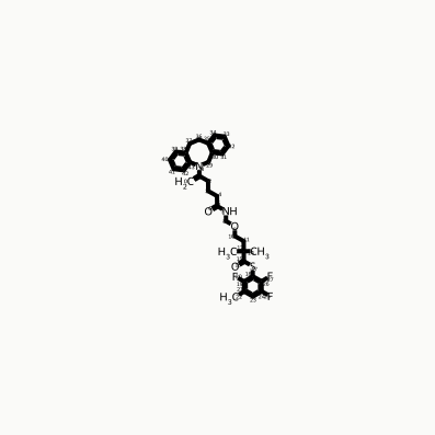 C=C(CCCC(=O)NCOCCC(C)(C)C(=O)Sc1c(F)c(C)cc(F)c1F)N1Cc2ccccc2CCc2ccccc21